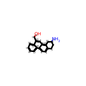 NC1CCc2ccc3c(cc(CO)c4ccccc43)c2C1